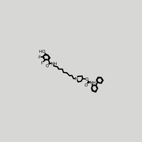 O=C(Nc1ccccc1-c1ccccc1)OC1CCN(CCCCCCCCCNC(=O)c2ccc(O)c(F)c2F)CC1